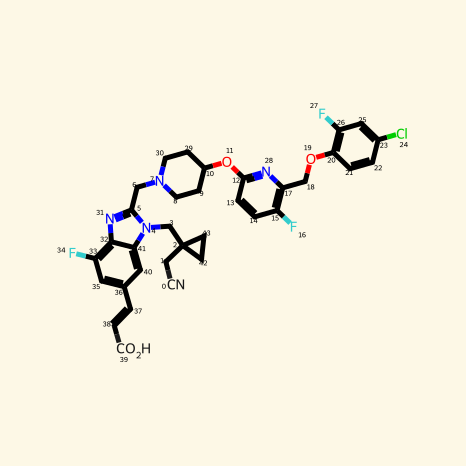 N#CCC1(Cn2c(CN3CCC(Oc4ccc(F)c(COc5ccc(Cl)cc5F)n4)CC3)nc3c(F)cc(/C=C/C(=O)O)cc32)CC1